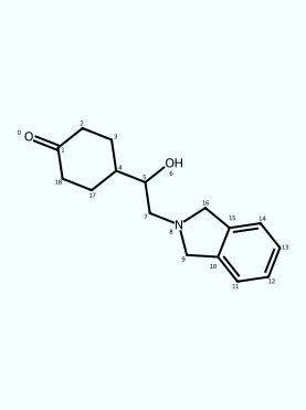 O=C1CCC(C(O)CN2Cc3ccccc3C2)CC1